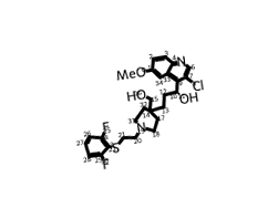 COc1ccc2ncc(Cl)c([C@H](O)CCC3(CO)CCN(CCSc4c(F)cccc4F)CC3)c2c1